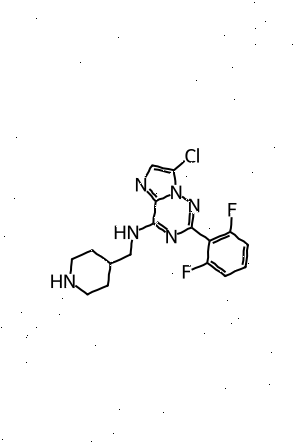 Fc1cccc(F)c1-c1nc(NCC2CCNCC2)c2ncc(Cl)n2n1